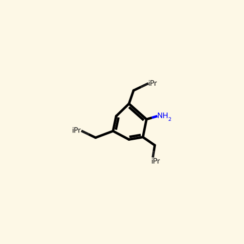 CC(C)Cc1cc(CC(C)C)c(N)c(CC(C)C)c1